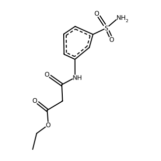 CCOC(=O)CC(=O)Nc1cccc(S(N)(=O)=O)c1